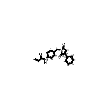 C=CC(=O)Nc1ccc(CN2C(=O)C=C(c3ccccc3)C2=O)cc1